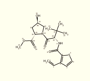 C=Cc1ccsc1C(=O)N[C@H](C(=O)N1C[C@H](O)C[C@H]1C(=O)OC)C(C)(C)C